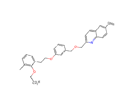 COc1ccc2nc(COCc3cccc(OCCc4cccc(C)c4OCC(=O)O)c3)ccc2c1